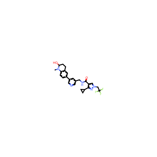 CN1c2ccc(-c3cncc(CNC(=O)c4cn(CC(F)(F)F)nc4C4CC4)c3)cc2CCC1O